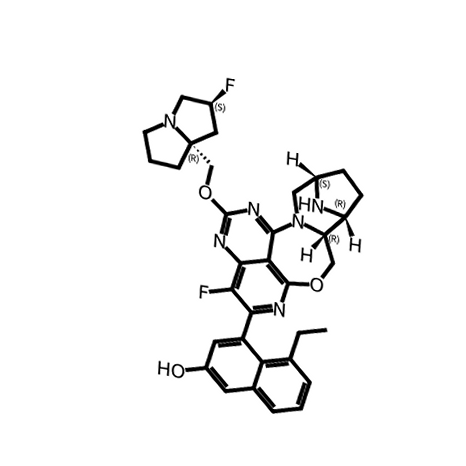 CCc1cccc2cc(O)cc(-c3nc4c5c(nc(OC[C@]67CCCN6C[C@@H](F)C7)nc5c3F)N3C[C@@H]5CC[C@@H](N5)[C@@H]3CO4)c12